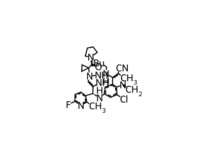 C=Nc1c(Cl)cc(N[C@H](C2=CN(C3(C(=O)N4CCCC4)CC3)NN2)c2ccc(F)nc2C)cc1/C(NCC(C)(C)C)=C(\C)C#N